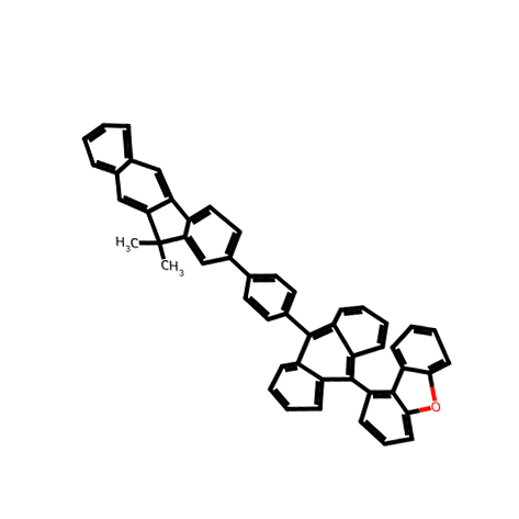 CC1(C)c2cc(-c3ccc(-c4c5ccccc5c(-c5cccc6oc7ccccc7c56)c5ccccc45)cc3)ccc2-c2cc3ccccc3cc21